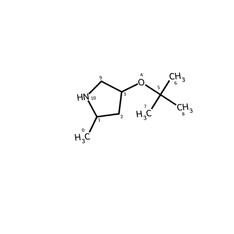 CC1CC(OC(C)(C)C)CN1